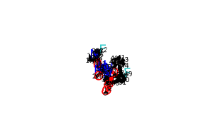 COCOc1cc(Oc2nc3nc(OC[C@@]45CCCN4C[C@H](F)C5)nc(OC)c3n2C2CCC2)c2c(C#C[Si](C(C)C)(C(C)C)C(C)C)c(F)ccc2c1